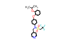 CC(C)Oc1ccccc1Oc1ccc(N(Cc2ccncc2)S(=O)(=O)CC(F)(F)F)cc1